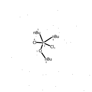 CCCCOP(Cl)(Cl)(CCCC)CCCC